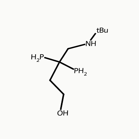 CC(C)(C)NCC(P)(P)CCO